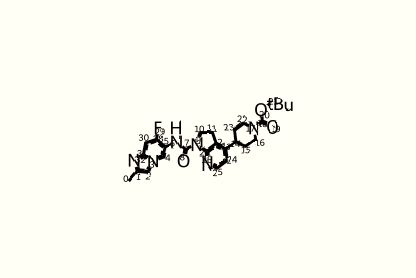 Cc1cn2cc(NC(=O)N3CCc4c(C5CCN(C(=O)OC(C)(C)C)CC5)ccnc43)c(F)cc2n1